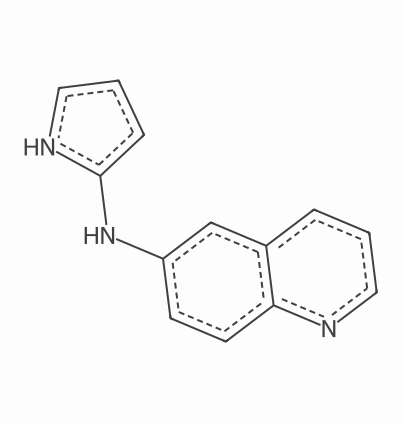 c1c[nH]c(Nc2ccc3ncccc3c2)c1